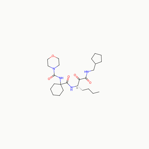 CCCC[C@H](NC(=O)C1(NC(=O)N2CCOCC2)CCCCC1)C(=O)C(=O)NCC1CCCC1